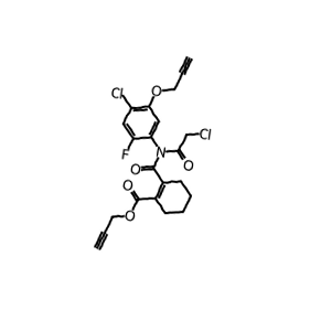 C#CCOC(=O)C1=C(C(=O)N(C(=O)CCl)c2cc(OCC#C)c(Cl)cc2F)CCCC1